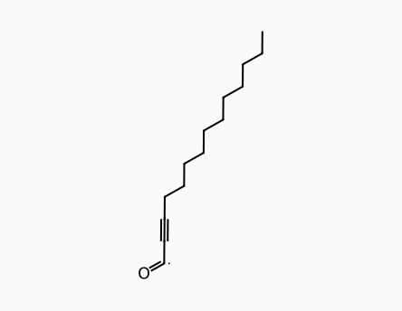 CCCCCCCCCCCC#C[C]=O